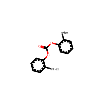 CCCCCCc1ccccc1OC(=O)Oc1ccccc1CCCCCC